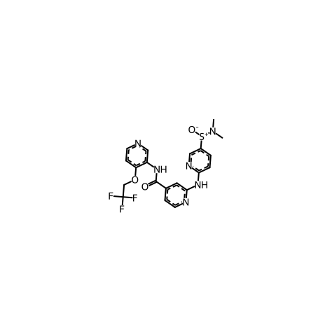 CN(C)[S+]([O-])c1ccc(Nc2cc(C(=O)Nc3cnccc3OCC(F)(F)F)ccn2)nc1